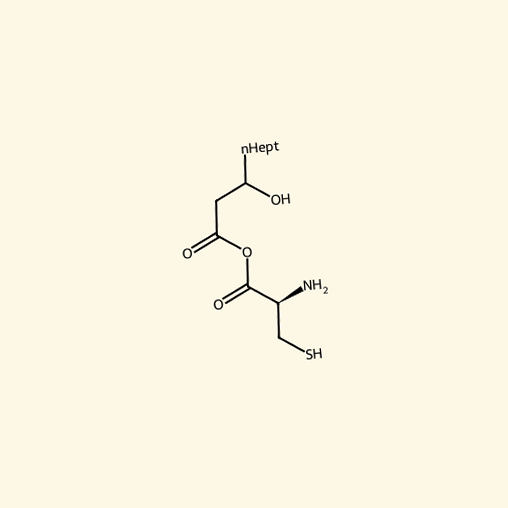 CCCCCCCC(O)CC(=O)OC(=O)[C@@H](N)CS